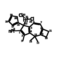 CCCC1=C(C)C2=C(C=CC3=C(CC3)C2(C)C)[C]1(C1=CC=CC1)[Hf]([Cl])[Cl]